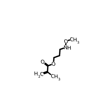 C=C(C)C(=O)OCCCNOC